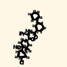 CC(C)[C@@H](NC(=O)c1cccc(-c2ccccc2)c1)C(=O)N1CC[C@](O)(c2ccc(Cl)cc2)C(C)(C)C1